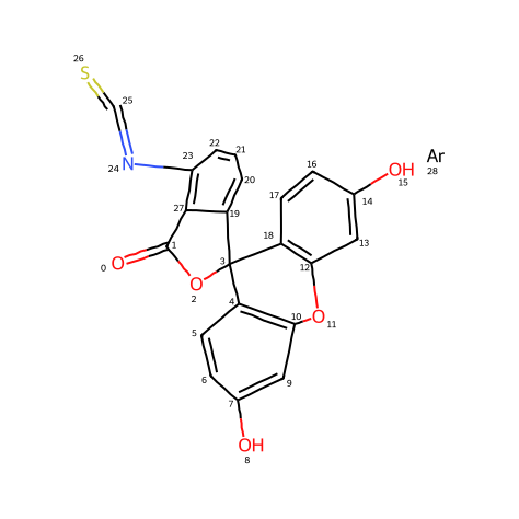 O=C1OC2(c3ccc(O)cc3Oc3cc(O)ccc32)c2cccc(N=C=S)c21.[Ar]